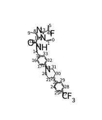 C=Cn1c(C(=C)F)nc(C)c1C(=O)NCc1ccc(N2CCC(c3ccc(C(F)(F)F)cc3)CC2)cc1